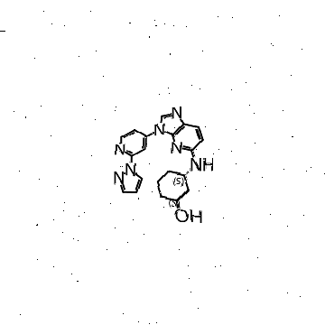 O[C@H]1CCC[C@H](Nc2ccc3ncn(-c4ccnc(-n5cccn5)c4)c3n2)C1